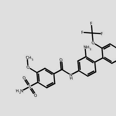 COc1cc(C(=O)Nc2ccc(-c3ccccc3OC(F)(F)F)c(N)c2)ccc1S(N)(=O)=O